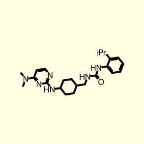 CC(C)c1ccccc1NC(=O)NCC1CCC(Nc2nccc(N(C)C)n2)CC1